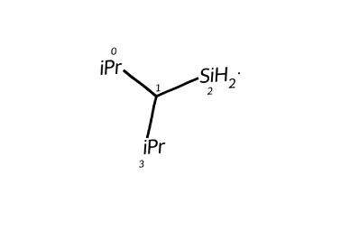 CC(C)C([SiH2])C(C)C